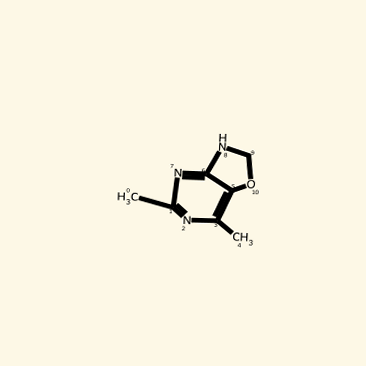 Cc1nc(C)c2c(n1)NCO2